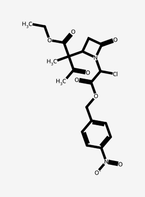 CCOC(=O)C(C)(C(C)=O)C1CC(=O)N1C(Cl)C(=O)OCc1ccc([N+](=O)[O-])cc1